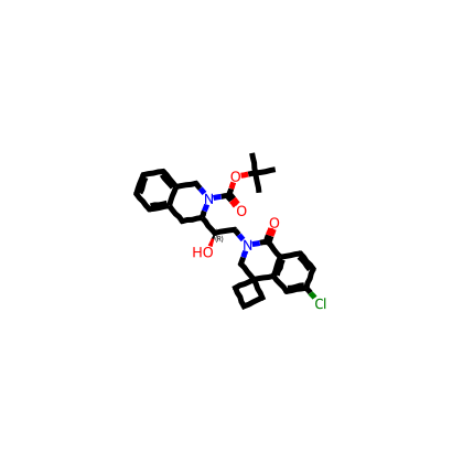 CC(C)(C)OC(=O)N1Cc2ccccc2CC1[C@H](O)CN1CC2(CCC2)c2cc(Cl)ccc2C1=O